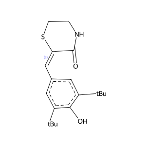 CC(C)(C)c1cc(/C=C2/SCCNC2=O)cc(C(C)(C)C)c1O